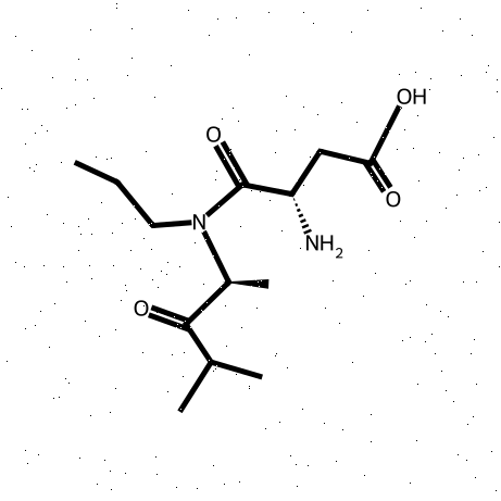 CCCN(C(=O)[C@@H](N)CC(=O)O)[C@@H](C)C(=O)C(C)C